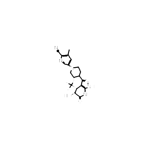 Cc1cc(N2CCC(c3n[nH]c4c3[C@H](C(F)(F)F)[C@H](O)C(=O)N4)CC2)cnc1C#N